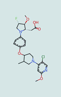 COc1cc(N2CCC(Oc3ccc(N4C[C@H](F)[C@@H](OC)[C@@H]4CC(=O)O)cc3)C(C)C2)c(Cl)cn1